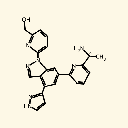 C[C@H](N)c1cccc(-c2cc(-c3cc[nH]n3)c3cnn(-c4cccc(CO)n4)c3c2)n1